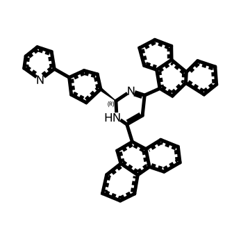 C1=C(c2cc3ccccc3c3ccccc23)N[C@@H](c2ccc(-c3ccccn3)cc2)N=C1c1cc2ccccc2c2ccccc12